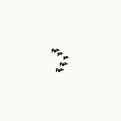 [Fe+2].[Fe+2].[Fe+2].[P-3].[P-3]